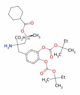 CCC(C)(C)OC(=O)Oc1ccc(CC(N)(C[C@H](C)OC(=O)C2CCCCC2)C(=O)O)cc1OC(=O)OC(C)(C)CC